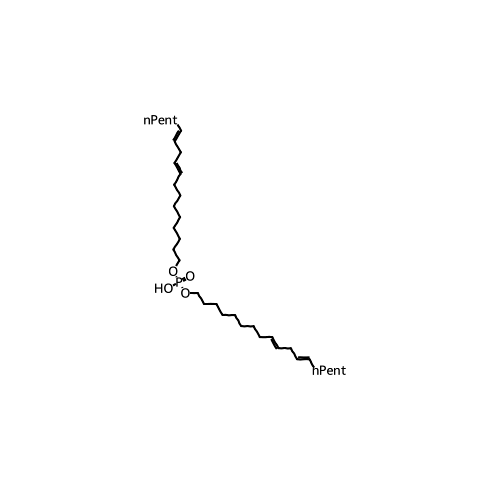 CCCCCC=CCC=CCCCCCCCCOP(=O)(O)OCCCCCCCCC=CCC=CCCCCC